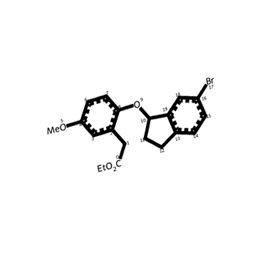 CCOC(=O)Cc1cc(OC)ccc1OC1CCc2ccc(Br)cc21